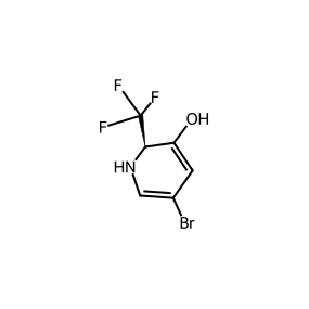 OC1=CC(Br)=CN[C@H]1C(F)(F)F